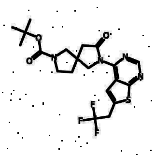 CC(C)(C)OC(=O)N1CCC2(CC(=O)N(c3ncnc4sc(CC(F)(F)F)cc34)C2)C1